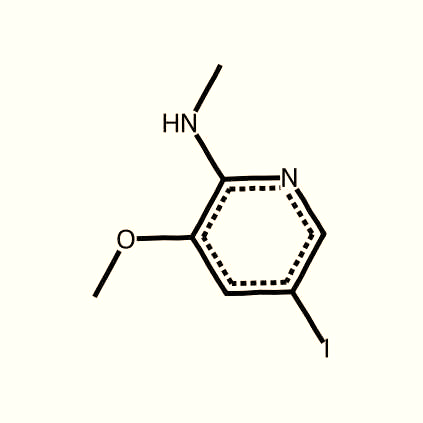 CNc1ncc(I)cc1OC